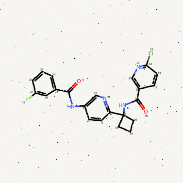 O=C(Nc1ccc(C2(NC(=O)c3ccc(Cl)nc3)CCC2)nc1)c1cccc(F)c1